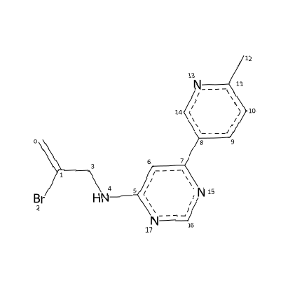 C=C(Br)CNc1cc(-c2ccc(C)nc2)ncn1